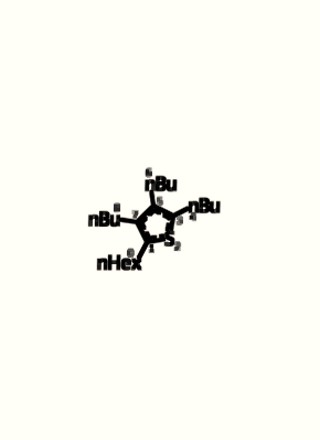 CCCCCCc1sc(CCCC)c(CCCC)c1CCCC